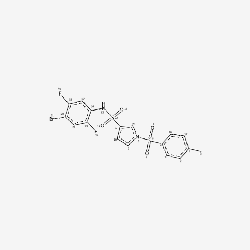 Cc1ccc(S(=O)(=O)n2ccc(S(=O)(=O)Nc3cc(F)c(Br)cc3F)c2)cc1